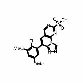 COc1cc(OC)c(Cl)c(-c2cc3cnc(S(C)(=O)=O)nc3n3cnnc23)c1